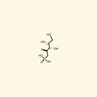 O=C(CP(=O)(O)O)[C@@H](O)[C@H](O)CO